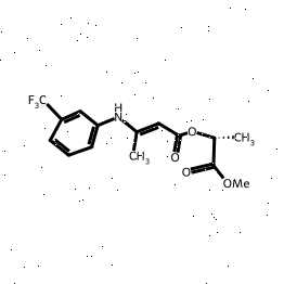 COC(=O)[C@@H](C)OC(=O)/C=C(\C)Nc1cccc(C(F)(F)F)c1